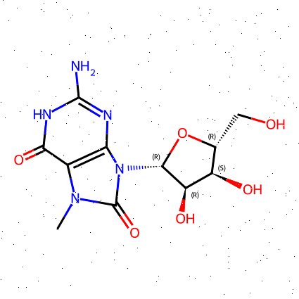 Cn1c(=O)n([C@@H]2O[C@H](CO)[C@@H](O)[C@H]2O)c2nc(N)[nH]c(=O)c21